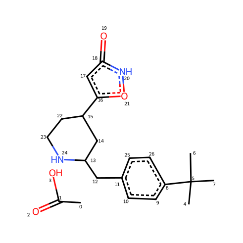 CC(=O)O.CC(C)(C)c1ccc(CC2CC(c3cc(=O)[nH]o3)CCN2)cc1